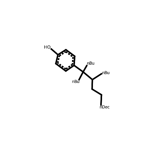 CCCCCCCCCCCCC(CCCC)C(CCCC)(CCCC)c1ccc(O)cc1